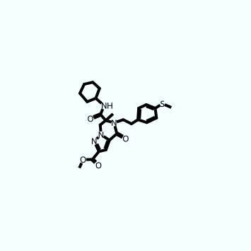 COC(=O)c1cc2n(n1)CC(C)(C(=O)NC1CCCCC1)N(CCc1ccc(SC)cc1)C2=O